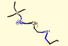 CCNC[SiH2]N[Si](C)(C)C